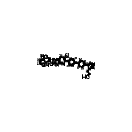 OCCn1cncc1-c1ccc(-c2ccc(-c3nc4nc(OC5CO[C@@H]6CCO[C@H]56)[nH]c4cc3Cl)cc2)cc1